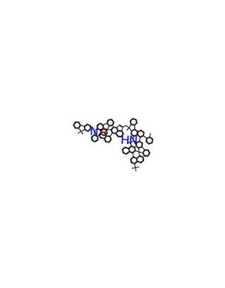 Cc1ccccc1-c1ccccc1-c1cc2c(cc1Nc1ccc3c(c1)C(C)(CC1=Cc4cc5c(c6cccc1c46)-c1cccc4cccc(c14)C51c4ccccc4-c4ccc(N(c5ccc6c(c5)C(C)(C)c5ccccc5-6)c5ccccc5-c5ccccc5)cc41)c1ccccc1-3)C1(c3ccccc3-2)c2cc(C(C)(C)C)c3ccccc3c2-c2ccc(C(C)(C)C)c3cccc1c23